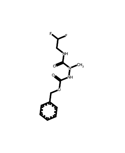 CN(NC(=O)OCc1ccccc1)C(=O)NCC(F)F